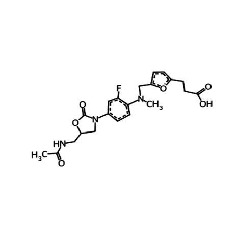 CC(=O)NCC1CN(c2ccc(N(C)Cc3ccc(CCC(=O)O)o3)c(F)c2)C(=O)O1